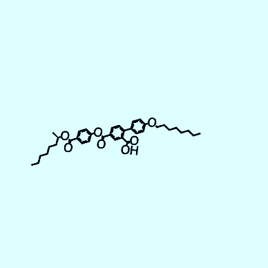 CCCCCCCCOc1ccc(-c2ccc(C(=O)Oc3ccc(C(=O)O[C@H](C)CCCCCC)cc3)cc2C(=O)O)cc1